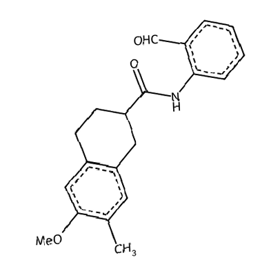 COc1cc2c(cc1C)CC(C(=O)Nc1ccccc1C=O)CC2